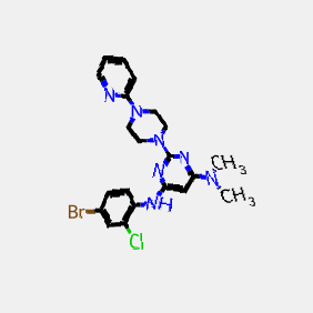 CN(C)c1cc(Nc2ccc(Br)cc2Cl)nc(N2CCN(c3ccccn3)CC2)n1